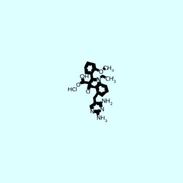 CCn1c(-c2ccccc2OC)c(C(=O)O)c(=O)c2c(Cc3cnc(N)nc3N)cccc21.Cl